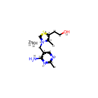 Cc1ncc(C[n+]2csc(CCO)c2C)c(N)n1.[KH].[Zn]